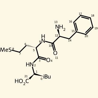 CC[C@H](C)[C@H](NC(=O)[C@H](CCSC)NC(=O)[C@@H](N)Cc1ccccc1)C(=O)O